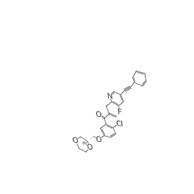 C=C(Cc1ncc(C#Cc2ccccc2)cc1F)C(=O)c1cc(OC[C@H]2COCCO2)ccc1Cl